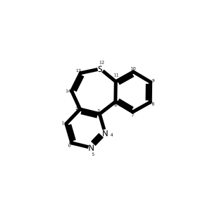 [c]1cc2c(nn1)-c1ccccc1SC=C2